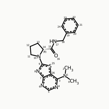 CN(C)c1ncnc2nc(N3CCC[C@@H]3C(=O)NCc3ccccc3)sc12